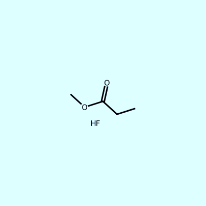 CCC(=O)OC.F